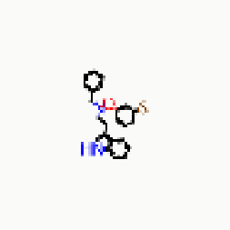 S=C1C=C(ON(CCc2c[nH]c3ccccc23)Cc2ccccc2)C=CC1